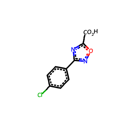 O=C(O)c1nc(-c2ccc(Cl)cc2)no1